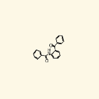 O=C(Nc1ccccc1C(=O)c1ccccc1)c1ccccc1